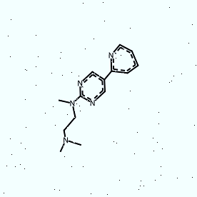 CN(C)CCN(C)c1ncc(-c2ccccn2)cn1